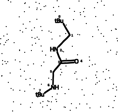 CC(C)(C)CNC(=O)CNC(C)(C)C